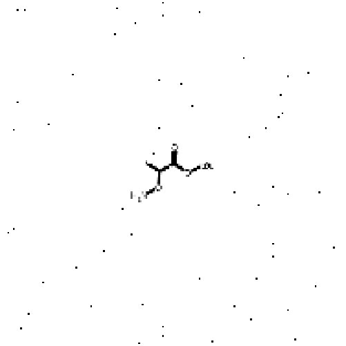 CC(ON)C(=O)OC(C)(C)C